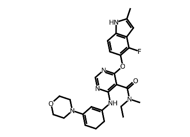 CCN(C)C(=O)c1c(NC2=CC(N3CCOCC3)=CCC2)ncnc1Oc1ccc2[nH]c(C)cc2c1F